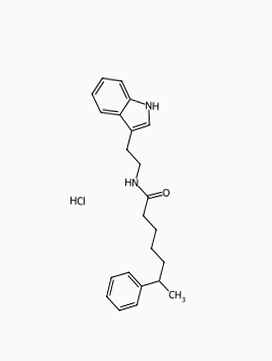 CC(CCCCC(=O)NCCc1c[nH]c2ccccc12)c1ccccc1.Cl